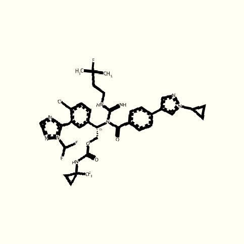 CC(C)(F)CCNC(=N)N(C(=O)c1ccc(-c2cnn(C3CC3)c2)cc1)[C@H](COC(=O)NC1(C(F)(F)F)CC1)c1ccc(Cl)c(-c2ncnn2C(F)F)c1